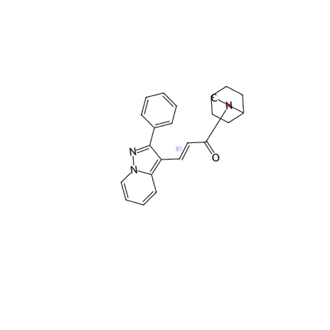 O=C(/C=C/c1c(-c2ccccc2)nn2ccccc12)N1CC2CCC(CC2)C1